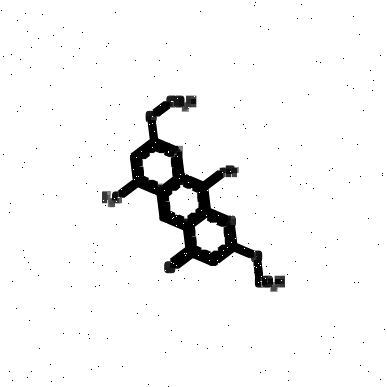 CCCc1c2nc(OC(=O)O)cc(C(F)(F)F)c2cc2c(=O)cc(OC(=O)O)oc12